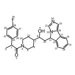 C[C](C(=O)N1CCC(C(O)CC2c3ccccc3-c3cncn32)CC1)c1ccc(F)cc1